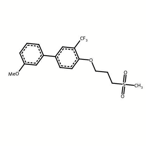 COc1cccc(-c2ccc(OCCCS(C)(=O)=O)c(C(F)(F)F)c2)c1